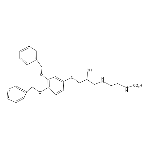 O=C(O)NCCNCC(O)COc1ccc(OCc2ccccc2)c(OCc2ccccc2)c1